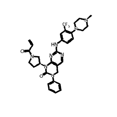 C=CC(=O)N1CC[C@H](N2C(=O)N(c3ccccc3)Cc3cnc(Nc4ccc(N5CCN(C)CC5)c(C(F)(F)F)c4)nc32)C1